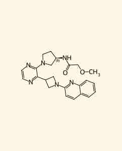 COCC(=O)N[C@@H]1CCN(c2nccnc2C2CN(c3ccc4ccccc4n3)C2)C1